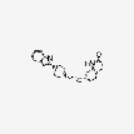 O=c1ccc2ccc(OCCN3CCN(c4nc5ccccc5s4)CC3)cc2[nH]1